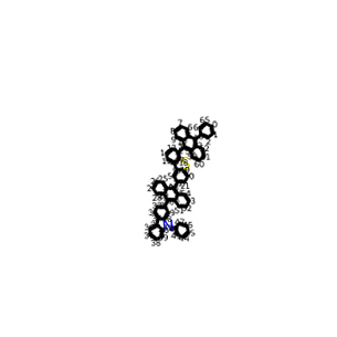 c1ccc(-c2c3ccccc3c(-c3cccc4c3sc3ccc(-c5c6ccccc6c(-c6ccc7c8ccccc8n(-c8ccccc8)c7c6)c6ccccc56)cc34)c3ccccc23)cc1